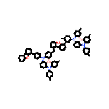 Cc1ccc(N2c3ccc(C)cc3B3c4cc(C)ccc4N(c4ccc(C)c(-c5cccc6c5oc5cccc(Cc7ccc8c(c7)B7c9cc(C)ccc9N(c9ccc(C)cc9)c9cccc(c97)N8c7ccc(-c8cccc9c8oc8ccccc89)cc7)c56)c4)c4cccc2c43)cc1